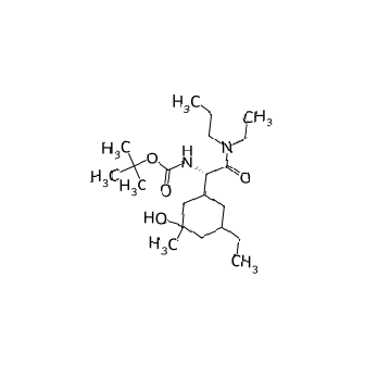 CCCN(CC)C(=O)[C@@H](NC(=O)OC(C)(C)C)C1CC(CC)CC(C)(O)C1